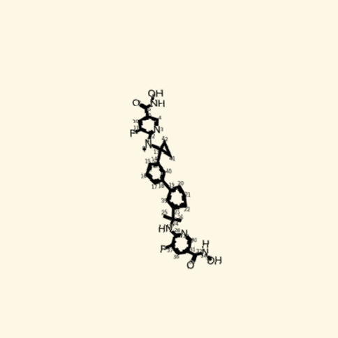 CN(c1ncc(C(=O)NO)cc1F)C1(c2cccc(-c3cccc(C(C)(C)Nc4ncc(C(=O)NO)cc4F)c3)c2)CC1